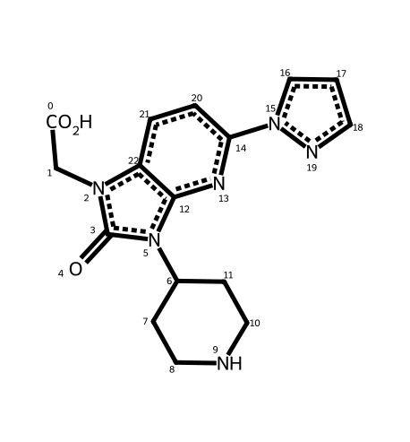 O=C(O)Cn1c(=O)n(C2CCNCC2)c2nc(-n3cccn3)ccc21